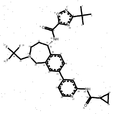 CC(C)(C)c1noc(C(=O)N[C@H]2CCN(CC(F)(F)F)Cc3cc(-c4ccnc(NC(=O)C5CC5)c4)ccc32)n1